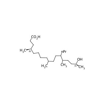 CCCC(CCC(C)CCCC[C@@H](C)CCC(=O)O)C(C)CC[C@H](C)O